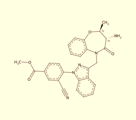 COC(=O)c1ccc(-n2nc(CN3C(=O)[C@@H](N)[C@H](C)Oc4ccccc43)c3ccccc32)c(C#N)c1